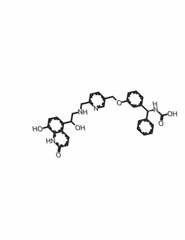 O=C(O)N[C@@H](c1ccccc1)c1cccc(OCc2ccc(CNCC(O)c3ccc(O)c4[nH]c(=O)ccc34)nc2)c1